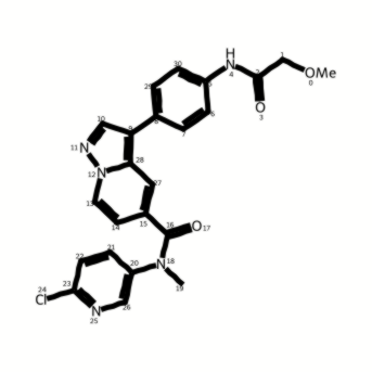 COCC(=O)Nc1ccc(-c2cnn3ccc(C(=O)N(C)c4ccc(Cl)nc4)cc23)cc1